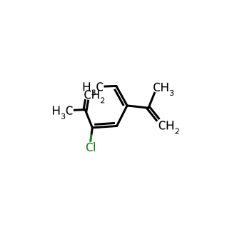 C=C(C)/C(Cl)=C\C(=C/C)C(=C)C